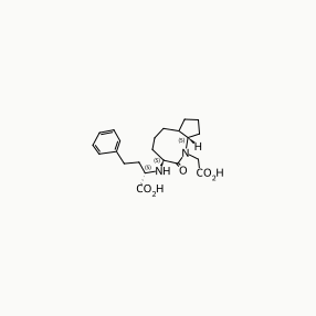 O=C(O)CN1C(=O)[C@@H](N[C@@H](CCc2ccccc2)C(=O)O)CCCC2CCC[C@@H]21